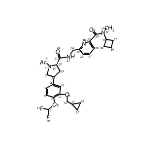 CC(=O)N1CC(c2ccc(OC(F)F)c(OCC3CC3)c2)C[C@@H]1C(=O)NCc1cccc(C(=O)N(C)C2CCC2)n1